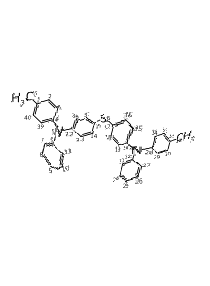 Cc1ccc(N(c2ccccc2)c2ccc(Sc3ccc(N(c4ccccc4)c4ccc(C)cc4)cc3)cc2)cc1